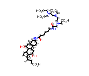 C[C@H](CCC(=O)O)[C@H]1CCC2C3C(C[C@H](O)[C@@]21C)[C@@]1(C)CC[C@H](NC(=O)CCCCCNC(=O)CN(CCN(CCN(CC(=O)O)CC(=O)O)CC(=O)O)CC(=O)O)C[C@H]1C[C@H]3O